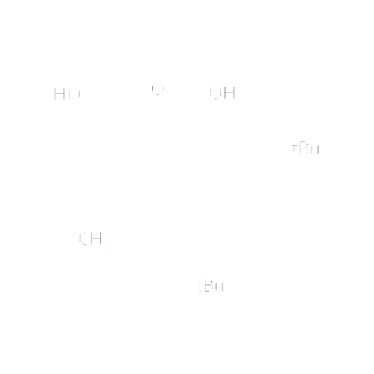 CC(C)(C)c1ccc(O)c(C(C)(C)C)c1.CCCC(=O)O